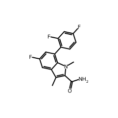 Cc1c(C(N)=O)n(C)c2c(-c3ccc(F)cc3F)cc(F)cc12